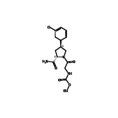 CC(C)(C)OC(=O)NCC(=O)N1C[C@H](C2C=CC=C(Cl)C2)C[C@H]1C(N)=O